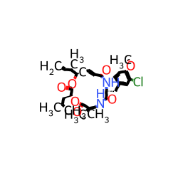 C=C[C@@H](C)[C@@H]1C/C=C/C(=O)N[C@H](Cc2ccc(OC)c(Cl)c2)C(=O)NCC(C)(C)C(=O)O[C@@H](CC(C)C)C(=O)O1